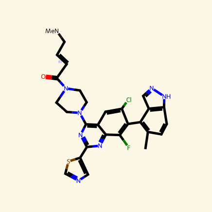 CNC/C=C/C(=O)N1CCN(c2nc(-c3cncs3)nc3c(F)c(-c4c(C)ccc5[nH]ncc45)c(Cl)cc23)CC1